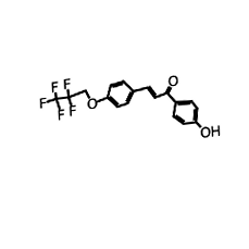 O=C(C=Cc1ccc(OCC(F)(F)C(F)(F)F)cc1)c1ccc(O)cc1